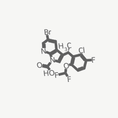 C[C@H](c1c(OC(F)F)ccc(F)c1Cl)c1cn(C(=O)O)c2ncc(Br)cc12